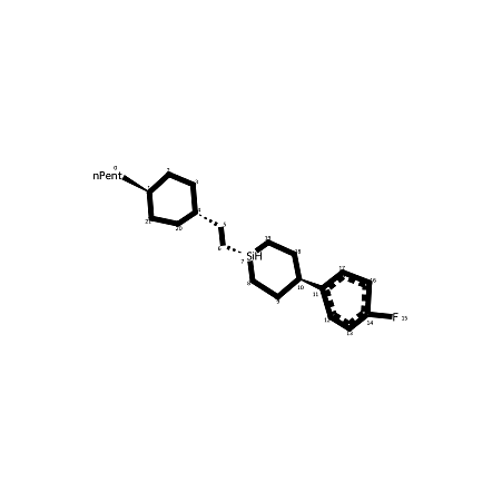 CCCCC[C@H]1CC[C@H](CC[Si@H]2CC[C@H](c3ccc(F)cc3)CC2)CC1